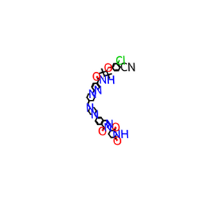 CC1(C)[C@H](NC(=O)c2ccc(N3CCC(CN4CCN(c5ccc6c(=O)n([C@@H]7CCC(=O)NC7=O)ncc6c5)CC4)CC3)nc2)C(C)(C)[C@H]1Oc1ccc(C#N)c(Cl)c1